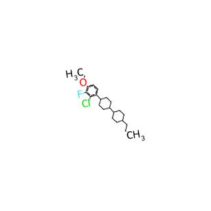 CCCC1CCC(C2CCC(c3ccc(OCC)c(F)c3Cl)CC2)CC1